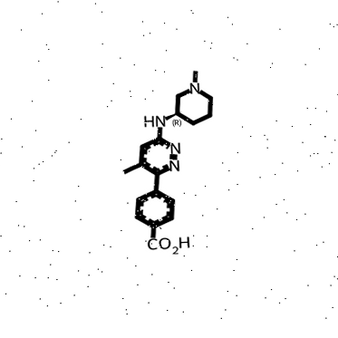 Cc1cc(N[C@@H]2CCCN(C)C2)nnc1-c1ccc(C(=O)O)cc1